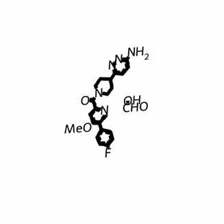 COc1cc(C(=O)N2CCC(c3ccc(N)nn3)CC2)ncc1-c1ccc(F)cc1.O=CO